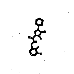 Cc1c(Cl)cccc1CNC(=O)C1CN(c2ncccn2)C(=O)N1C